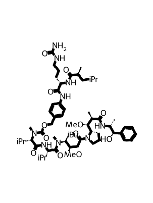 CC[C@H](C)[C@@H]([C@@H](CC(=O)N1CCC[C@H]1[C@H](OC)[C@@H](C)C(=O)N[C@H](C)[C@@H](O)c1ccccc1)OC)N(C)C(=O)[C@@H](NC(=O)[C@H](C(C)C)N(C)C(=O)OCc1ccc(NC(=O)[C@H](CCCNC(N)=O)NC(=O)[C@@H](C)CC(C)C)cc1)C(C)C